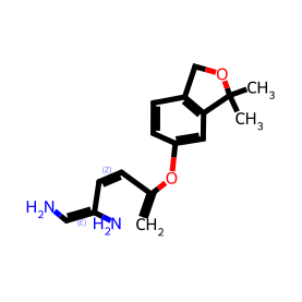 C=C(/C=C\C(N)=C/N)Oc1ccc2c(c1)C(C)(C)OC2